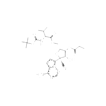 CCC(=O)O[C@H]1[C@@H](O)[C@](C#N)(c2ccc3c(N)ncnn23)O[C@@H]1COC(=O)[C@@H](NC(=O)OC(C)(C)C)C(C)C